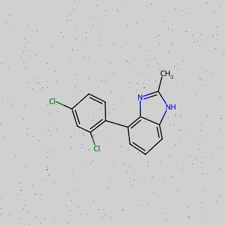 Cc1nc2c(-c3ccc(Cl)cc3Cl)cccc2[nH]1